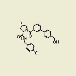 C[C@@H]1C[C@@H](C(=O)NCc2ccc(Cl)cc2)N(C(=O)C2C=C(c3ccc(CO)cc3)C=CC2)C1